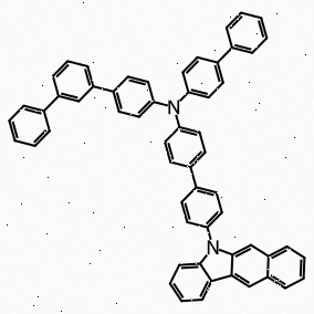 c1ccc(-c2ccc(N(c3ccc(-c4ccc(-n5c6ccccc6c6cc7ccccc7cc65)cc4)cc3)c3ccc(-c4cccc(-c5ccccc5)c4)cc3)cc2)cc1